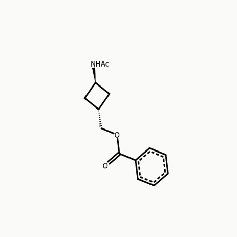 CC(=O)N[C@H]1C[C@H](COC(=O)c2ccccc2)C1